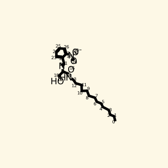 CCCCCCCCCCCCCCNC(=O)C(CO)N=Cc1ccccc1[N+](=O)[O-]